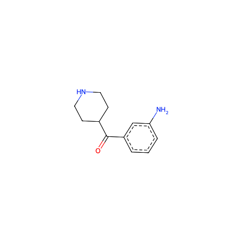 Nc1cccc(C(=O)C2CCNCC2)c1